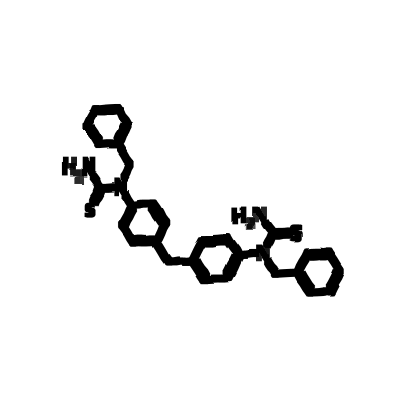 NC(=S)N(Cc1ccccc1)c1ccc(Cc2ccc(N(Cc3ccccc3)C(N)=S)cc2)cc1